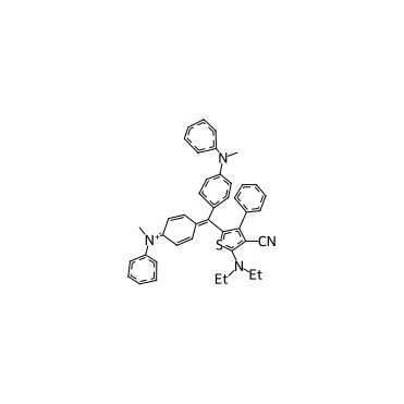 CCN(CC)c1sc(C(=C2C=CC(=[N+](C)c3ccccc3)C=C2)c2ccc(N(C)c3ccccc3)cc2)c(-c2ccccc2)c1C#N